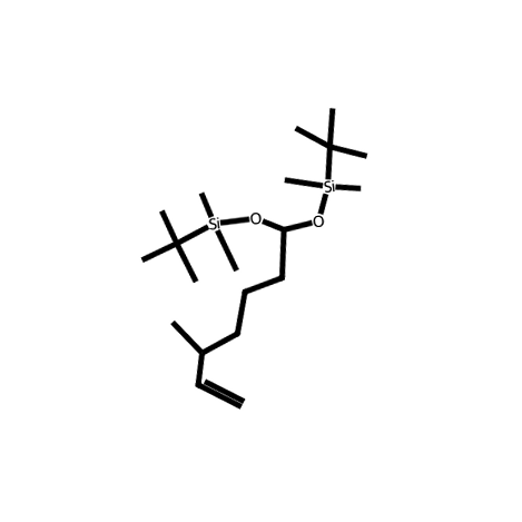 C=CC(C)CCCC(O[Si](C)(C)C(C)(C)C)O[Si](C)(C)C(C)(C)C